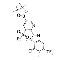 CCS(=O)(=O)c1cc(B2OC(C)(C)C(C)(C)O2)cnc1-c1nc2cc(C(F)(F)F)n(C)c(=O)c2n1C